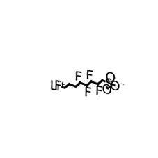 O=S(=O)([O-])CC(F)C(F)C(F)C(F)CCCF.[Li+]